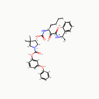 CCCC[C@H](NC(=O)O[C@@H]1CN(C(=O)Oc2cccc(Oc3ccccc3)c2)CC1(C)C)C(=O)C(=O)N[C@H](C)c1ccccc1